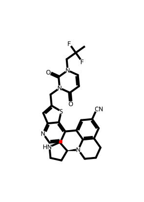 CC(F)(F)Cn1ccc(=O)n(Cc2cc3nccc(-c4cc(C#N)cc5c4N([C@H]4CCNC4)CCC5)c3s2)c1=O